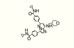 O=C(NC1CC1)c1ccc(-c2cc(NCC3CCOCC3)c3ncc(-c4ccc(C(=O)NC5CC5)cc4)n3n2)cc1